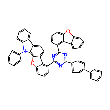 c1ccc(-c2ccc(-c3nc(-c4cccc5oc6ccccc6c45)nc(-c4cccc5oc6c(ccc7c8ccccc8n(-c8ccccc8)c76)c45)n3)cc2)cc1